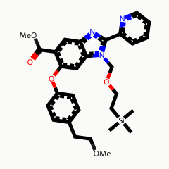 COCCc1ccc(Oc2cc3c(cc2C(=O)OC)nc(-c2ccccn2)n3COCC[Si](C)(C)C)cc1